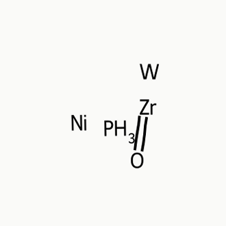 P.[Ni].[O]=[Zr].[W]